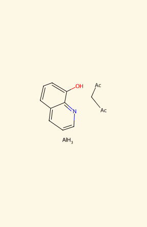 CC(=O)CC(C)=O.Oc1cccc2cccnc12.[AlH3]